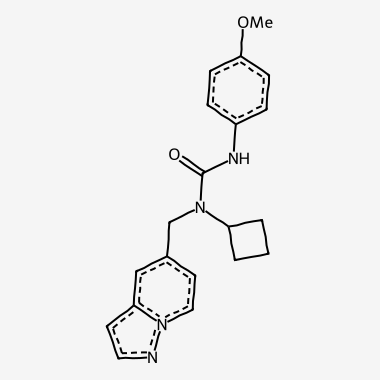 COc1ccc(NC(=O)N(Cc2ccn3nccc3c2)C2CCC2)cc1